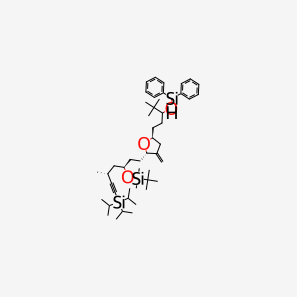 C=C1C[C@H](CCC(O[SiH](c2ccccc2)c2ccccc2)C(C)(C)C)O[C@H]1CC[C@H](C[C@@H](C)C#C[Si](C(C)C)(C(C)C)C(C)C)O[Si](C)(C)C(C)(C)C